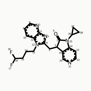 O=C1C(Cc2nc3ncccc3n2CCCC(F)F)c2cnccc2N1C1CC1